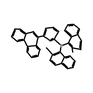 Cc1ccc2ccccc2c1B(c1cccc(-c2cc3ccccc3c3ccccc23)c1)c1c(C)ccc2ccccc12